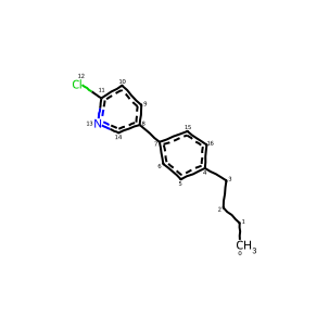 CCCCc1ccc(-c2ccc(Cl)nc2)cc1